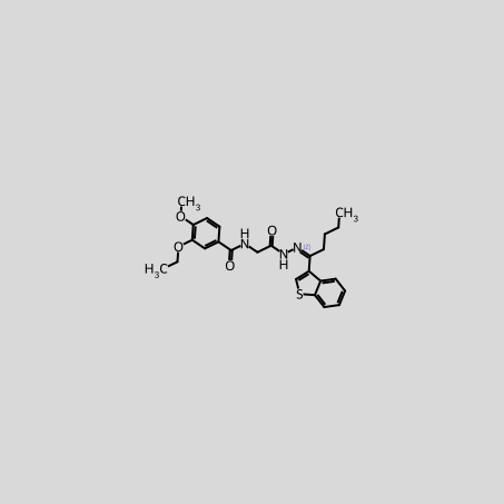 CCCC/C(=N/NC(=O)CNC(=O)c1ccc(OC)c(OCC)c1)c1csc2ccccc12